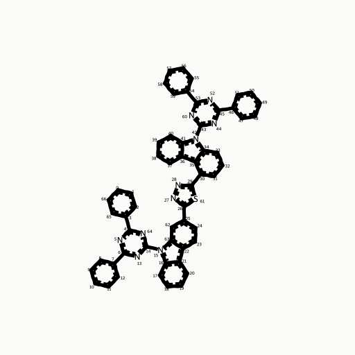 c1ccc(-c2nc(-c3ccccc3)nc(-n3c4ccccc4c4ccc(-c5nnc(-c6cccc7c6c6ccccc6n7-c6nc(-c7ccccc7)nc(-c7ccccc7)n6)s5)cc43)n2)cc1